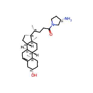 C[C@H](CCC(=O)N1CC[C@H](N)C1)[C@H]1CC[C@H]2[C@@H]3CC=C4C[C@@H](O)CC[C@]4(C)[C@H]3CC[C@]12C